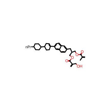 C=C(C)C(=O)OCC(COC(=O)C(=C)CO)Cc1ccc2cc(C3=CCC(C4CCC(CCC)CC4)CC3)ccc2c1